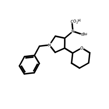 CC(C)(C)N(C(=O)O)C1CN(Cc2ccccc2)CC1C1CCCCO1